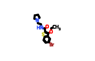 CCOc1c(C(=O)NCCN2CCCC2)sc2ccc(Br)cc12